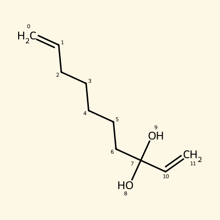 C=CCCCCCC(O)(O)C=C